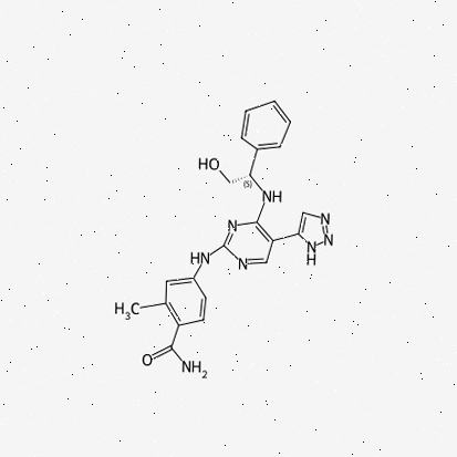 Cc1cc(Nc2ncc(-c3cnn[nH]3)c(N[C@H](CO)c3ccccc3)n2)ccc1C(N)=O